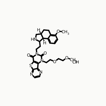 COCCOCCn1c(=O)n(CCC2NC[C@@H]3CCc4c(OC)cccc4[C@H]23)c(=O)c2sc3nccnc3c21.Cl